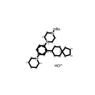 CCCCN1CCN(c2ccc(N3CCCCC3)cc2C2CCC3(CCCC3)CC2)CC1.Cl